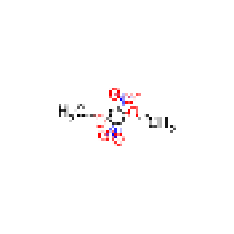 C=CCOc1cc([N+](=O)[O-])c(OCC=C)cc1[N+](=O)[O-]